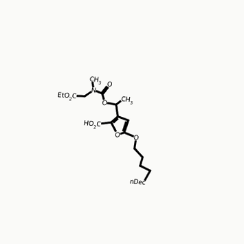 CCCCCCCCCCCCCCOc1cc(C(C)OC(=O)N(C)CC(=O)OCC)c(C(=O)O)o1